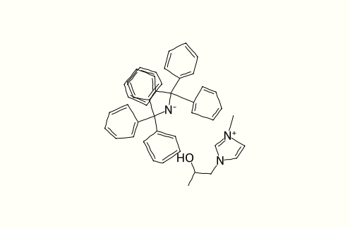 CC(O)Cn1cc[n+](C)c1.c1ccc(C([N-]C(c2ccccc2)(c2ccccc2)c2ccccc2)(c2ccccc2)c2ccccc2)cc1